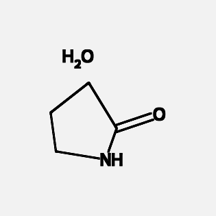 O.O=C1CCCN1